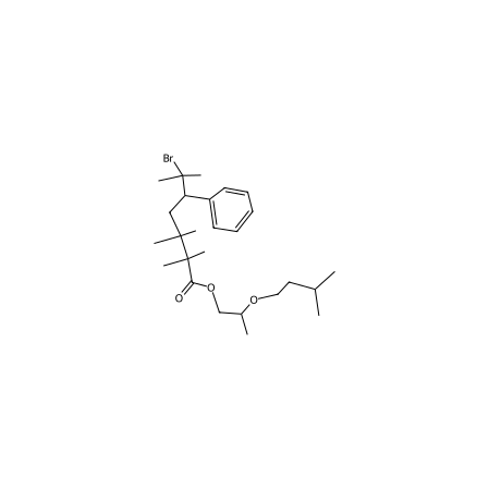 CC(C)CCOC(C)COC(=O)C(C)(C)C(C)(C)CC(c1ccccc1)C(C)(C)Br